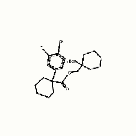 CCCCCCCCCCC1(COC(=O)C2(c3ccc(C#N)c(F)c3)CCCCC2)CCCCC1